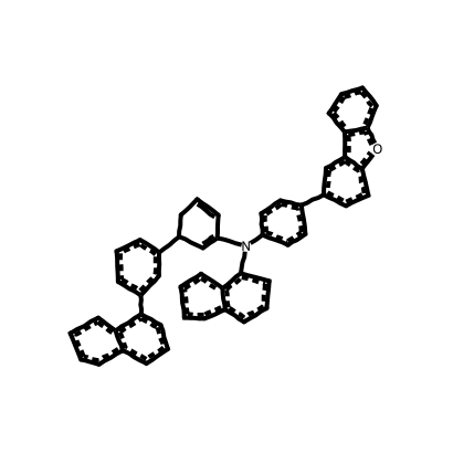 C1=CC(N(c2ccc(-c3ccc4oc5ccccc5c4c3)cc2)c2cccc3ccccc23)=CC(c2cccc(-c3cccc4ccccc34)c2)C1